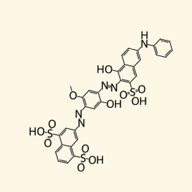 COc1cc(N=Nc2c(S(=O)(=O)O)cc3cc(Nc4ccccc4)ccc3c2O)c(O)cc1N=Nc1cc(S(=O)(=O)O)c2cccc(S(=O)(=O)O)c2c1